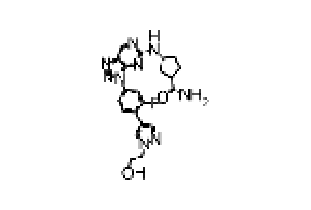 NC(=O)[C@@H]1CC[C@@H](Nc2ncc3nnn(-c4ccc(-c5cnn(CCO)c5)c(F)c4)c3n2)C1